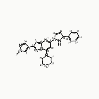 Cn1cc(-c2cc3nc(N4C=CC(c5ccccc5)N4)cc(N4CCOCC4)n3n2)cn1